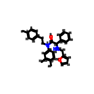 Cc1ccc(CCN(C(=O)C(NCc2ccco2)c2ccccc2)c2ccc(C)c(C)c2)cc1